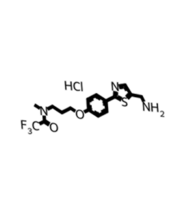 CN(CCCOc1ccc(-c2ncc(CN)s2)cc1)C(=O)C(F)(F)F.Cl